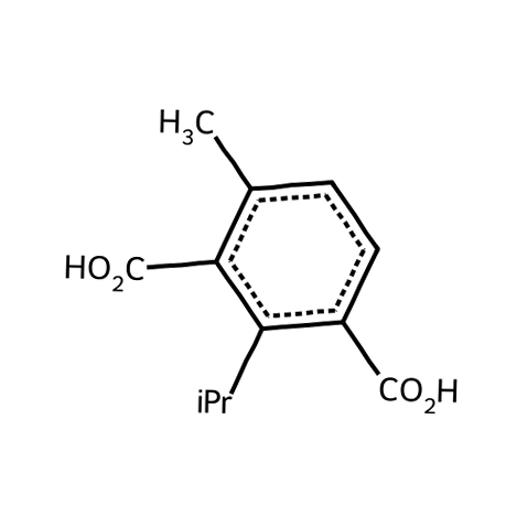 Cc1ccc(C(=O)O)c(C(C)C)c1C(=O)O